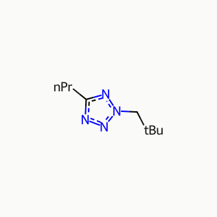 CCCc1nnn(CC(C)(C)C)n1